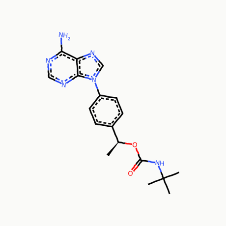 C[C@H](OC(=O)NC(C)(C)C)c1ccc(-n2cnc3c(N)ncnc32)cc1